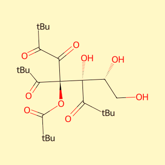 CC(C)(C)C(=O)O[C@](C(=O)C(=O)C(C)(C)C)(C(=O)C(C)(C)C)[C@](O)(C(=O)C(C)(C)C)[C@H](O)CO